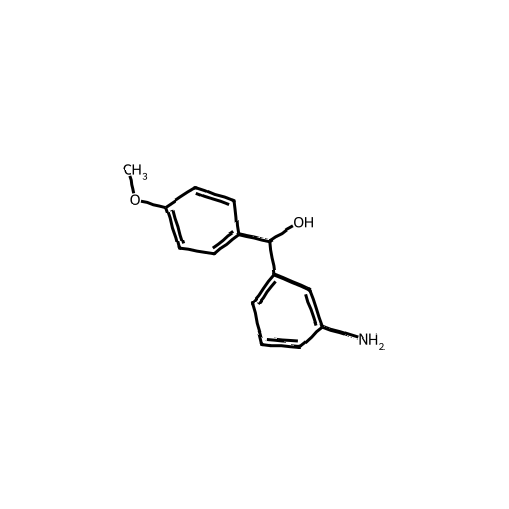 COc1ccc(C(O)c2cccc(N)c2)cc1